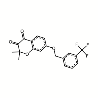 CC1(C)Oc2cc(OCc3cccc(C(F)(F)F)c3)ccc2C(=O)C1=O